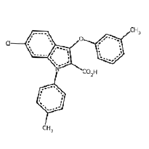 Cc1ccc(-n2c(C(=O)O)c(Oc3cccc(C)c3)c3ccc(Cl)cc32)cc1